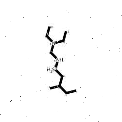 CCC(C)C[SiH2]NCN(CC)CC